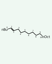 [CH2]CCCC=CCCCCCCCCCCCCCCC